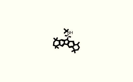 CC1CCC(C)(C)c2cc3c(cc21)C(S(C)(C)NC(C)(C)C)c1cc2c(cc1-3)C(C)(C)CCC2(C)C